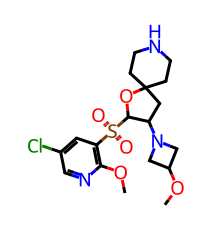 COc1ncc(Cl)cc1S(=O)(=O)C1OC2(CCNCC2)CC1N1CC(OC)C1